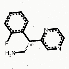 NC[C@@H](c1cnccn1)c1ccccc1F